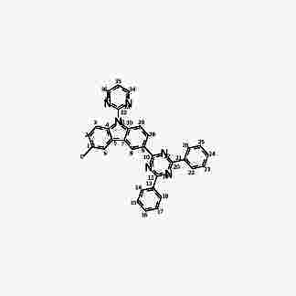 Cc1ccc2c(c1)c1cc(-c3nc(-c4ccccc4)nc(-c4ccccc4)n3)ccc1n2-c1ncccn1